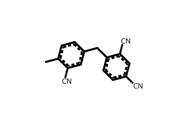 Cc1ccc(Cc2ccc(C#N)cc2C#N)cc1C#N